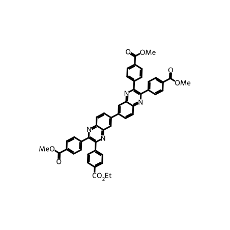 CCOC(=O)c1ccc(-c2nc3cc(-c4ccc5nc(-c6ccc(C(=O)OC)cc6)c(-c6ccc(C(=O)OC)cc6)nc5c4)ccc3nc2-c2ccc(C(=O)OC)cc2)cc1